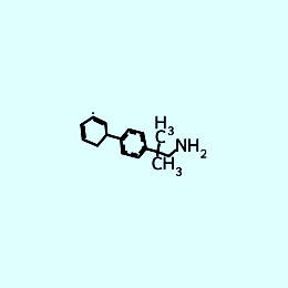 CC(C)(CN)c1ccc(C2C=[C]C=CC2)cc1